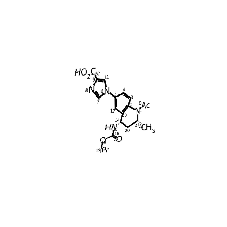 CC(=O)N1c2ccc(-n3cnc(C(=O)O)c3)cc2[C@@H](NC(=O)OC(C)C)C[C@H]1C